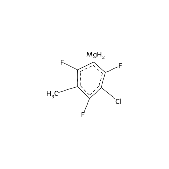 Cc1c(F)cc(F)c(Cl)c1F.[MgH2]